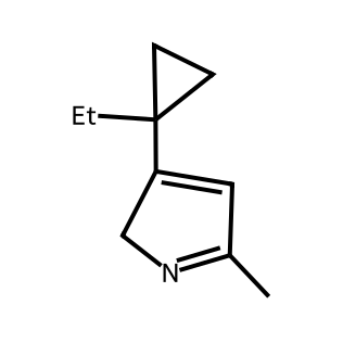 CCC1(C2=CC(C)=NC2)CC1